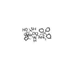 CC(C)(S)[C@@H](NC(=O)[C@@H](Cc1cccs1)NC(=O)[C@@H](N)CSC(c1ccccc1)(c1ccccc1)c1ccccc1)C(=O)O